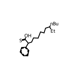 CCCCC(CC)CCCCCCC(C(O)=S)c1ccccc1